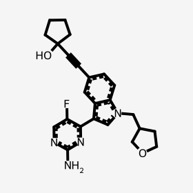 Nc1ncc(F)c(-c2cn(CC3CCOC3)c3ccc(C#CC4(O)CCCC4)cc23)n1